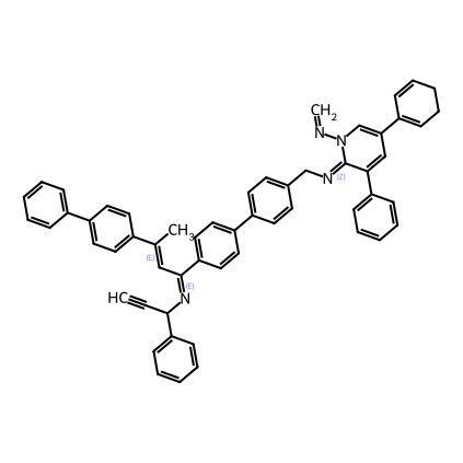 C#CC(/N=C(\C=C(/C)c1ccc(-c2ccccc2)cc1)c1ccc(-c2ccc(C/N=c3/c(-c4ccccc4)cc(C4=CCCC=C4)cn3N=C)cc2)cc1)c1ccccc1